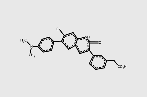 CN(C)c1ccc(-c2cc3cc(-c4cccc(CC(=O)O)c4)c(=O)[nH]c3cc2Cl)cc1